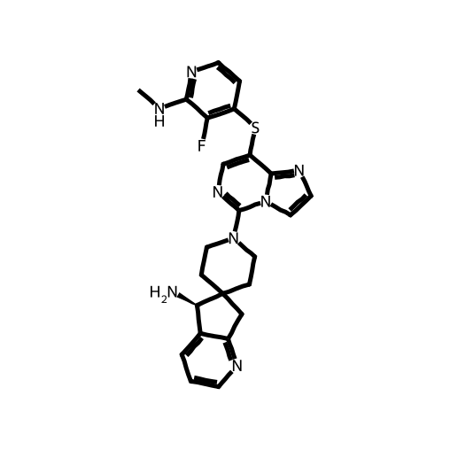 CNc1nccc(Sc2cnc(N3CCC4(CC3)Cc3ncccc3[C@H]4N)n3ccnc23)c1F